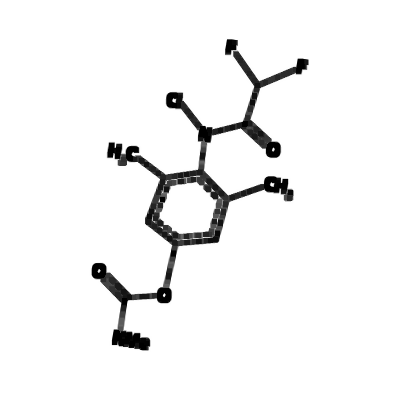 CNC(=O)Oc1cc(C)c(N(Cl)C(=O)C(F)F)c(C)c1